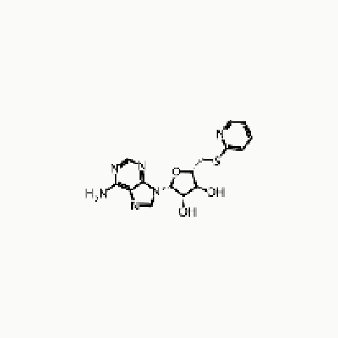 Nc1ncnc2c1ncn2[C@@H]1O[C@H](CSc2ccccn2)[C@@H](O)[C@H]1O